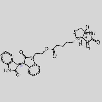 O=C1N[C@H]2[C@H](CS[C@H]2CCCCC(=O)OCCN2C(=O)/C(=C3/C(=O)Nc4ccccc43)c3ccccc32)N1